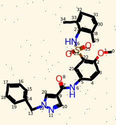 COc1ccc(NC(=O)c2cnn(Cc3ccccc3)c2)cc1S(=O)(=O)Nc1c(C)cccc1C